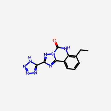 CCc1cccc2c1[nH]c(=O)n1nc(-c3nnn[nH]3)nc21